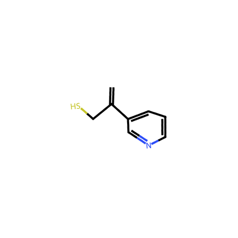 C=C(CS)c1cccnc1